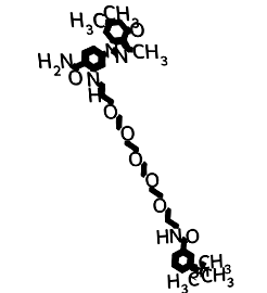 Cc1nn(-c2ccc(C(N)=O)c(NCCCOCCOCCOCCOCCOCCCNC(=O)c3ccc[c]([Sn]([CH3])([CH3])[CH3])c3)c2)c2c1C(=O)CC(C)(C)C2